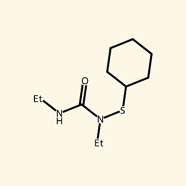 CCNC(=O)N(CC)SC1CCCCC1